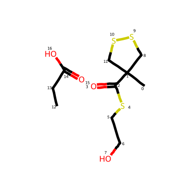 CC1(C(=O)SCCO)CSSC1.CCC(=O)O